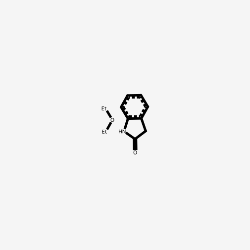 CCOCC.O=C1Cc2ccccc2N1